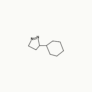 C1CCC(C2CCN=N2)CC1